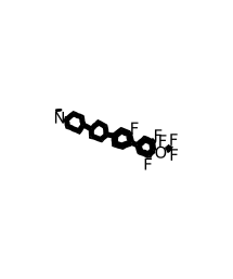 C=NC1CCC(C2CCC(c3ccc(-c4cc(F)c(OC(F)(F)F)c(F)c4)c(F)c3)CC2)CC1